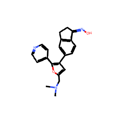 CN(C)Cc1cc(-c2ccc3c(c2)CC/C3=N/O)c(-c2ccncc2)o1